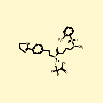 CN(CCc1ccc(C2=NCCN2)cc1)C(=O)CCCN(C)S(=O)(=O)c1ccccc1C(F)(F)F.O=C(O)C(F)(F)F